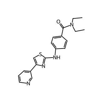 CCN(CC)C(=O)c1ccc(Nc2nc(-c3cccnc3)cs2)cc1